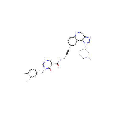 CN1CCC[C@@H](n2cnc3cnc4ccc(C#CCNC(=O)c5cncn(Cc6ccc(F)c(F)c6)c5=O)cc4c32)C1